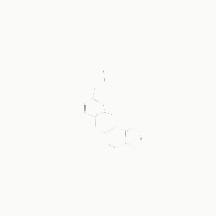 O=C(O)CCc1cc(Br)c(Oc2ccc3ncncc3c2)c(Br)c1